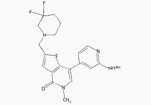 CC(=O)Nc1cc(-c2cn(C)c(=O)c3cc(CN4CCCC(F)(F)C4)sc23)ccn1